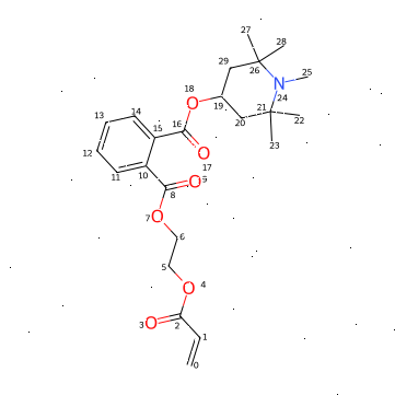 C=CC(=O)OCCOC(=O)c1ccccc1C(=O)OC1CC(C)(C)N(C)C(C)(C)C1